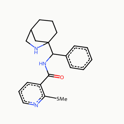 CSc1ncccc1C(=O)NC(c1ccccc1)C12CCCC(CN1)C2